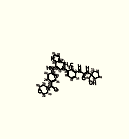 Cc1c(NC(=O)NC2(CO)CCCC2)cccc1N1C=C(Nc2ccc(C(=O)N3CCOCC3)cn2)C2=NC=C[N+]2C1